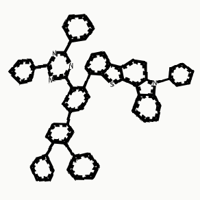 c1ccc(-c2nc(-c3ccccc3)nc(-c3cc(-c4ccc(-c5ccccc5)c(-c5ccccc5)c4)ccc3-c3cccc4c3sc3c4ccc4c3c3ccccc3n4-c3ccccc3)n2)cc1